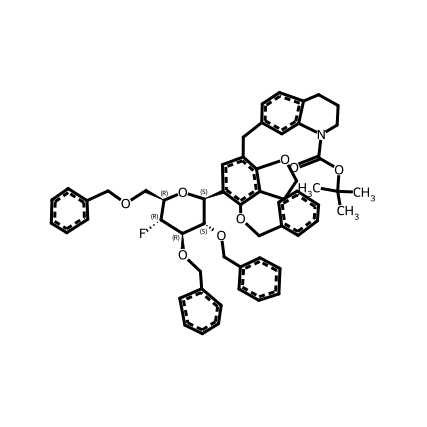 CC(C)(C)OC(=O)N1CCCc2ccc(Cc3cc([C@@H]4O[C@H](COCc5ccccc5)[C@@H](F)[C@H](OCc5ccccc5)[C@H]4OCc4ccccc4)c(OCc4ccccc4)c4c3OCC4)cc21